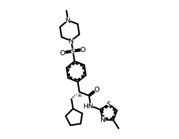 Cc1csc(NC(=O)[C@H](CC2CCCC2)c2ccc(S(=O)(=O)N3CCN(C)CC3)cc2)n1